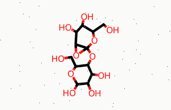 OCC1OC2(OC3C(CO)OC(O)C(O)C3O)OC2C(O)C1O